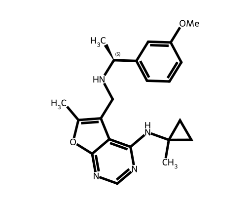 COc1cccc([C@H](C)NCc2c(C)oc3ncnc(NC4(C)CC4)c23)c1